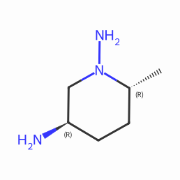 C[C@@H]1CC[C@@H](N)CN1N